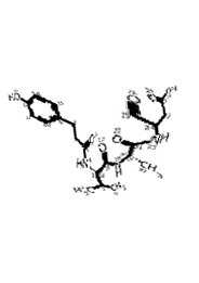 CC(C)[C@H](NC(=O)CCc1ccc(O)cc1)C(=O)N[C@@H](C)C(=O)NC(C=O)CC(=O)O